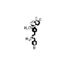 CN(CCc1ccc2c(c1)n(C)c(=O)n2C1CCC(=O)NC1=O)CC1CCNCC1